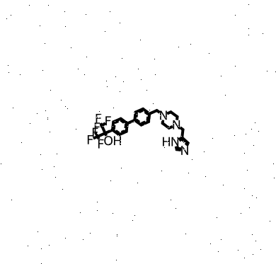 OC(c1ccc(-c2ccc(CN3CCN(Cc4cnc[nH]4)CC3)cc2)cc1)(C(F)(F)F)C(F)(F)F